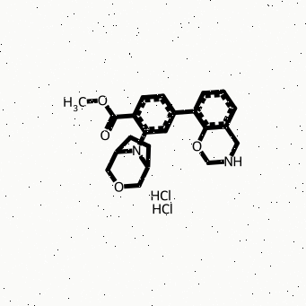 COC(=O)c1ccc(-c2cccc3c2OCNC3)cc1N1C2CCC1COC2.Cl.Cl